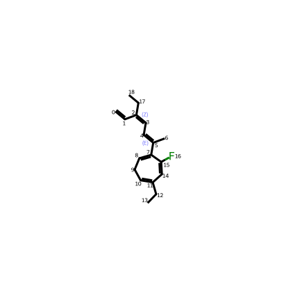 C=C/C(=C\C=C(/C)C1=CCC=C(CC)C=C1F)CC